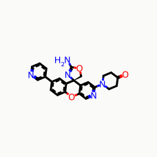 NC1=N[C@@]2(CO1)c1cc(-c3cccnc3)ccc1Oc1cnc(N3CCC(=O)CC3)cc12